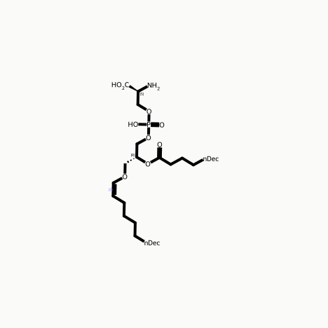 CCCCCCCCCCCCCC/C=C\OC[C@H](COP(=O)(O)OC[C@H](N)C(=O)O)OC(=O)CCCCCCCCCCCCC